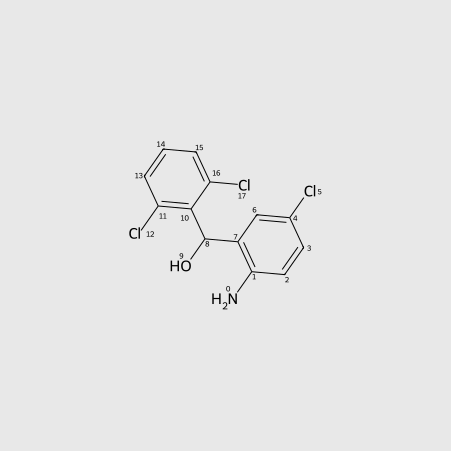 Nc1ccc(Cl)cc1C(O)c1c(Cl)cccc1Cl